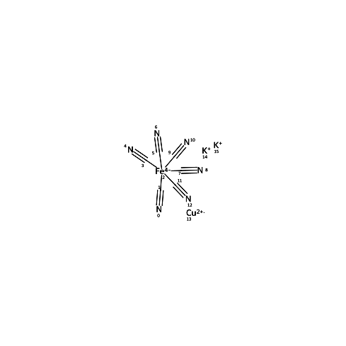 N#[C][Fe-4]([C]#N)([C]#N)([C]#N)([C]#N)[C]#N.[Cu+2].[K+].[K+]